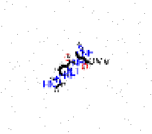 COC(=O)C1NN(C)CC1NC(=O)C1CCC(N2CCNC2)NN1